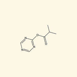 CC(C)C(=O)Oc1ncncn1